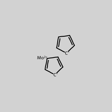 [Mo+2].c1cc[cH-]c1.c1cc[cH-]c1